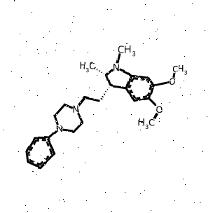 COc1cc2c(cc1OC)N(C)[C@@H](C)[C@H]2CCN1CCN(c2ccccc2)CC1